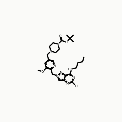 CCCCNc1nc(Cl)nc2cn(Cc3ncc(CN4CCN(C(=O)OC(C)(C)C)CC4)cc3OC)nc12